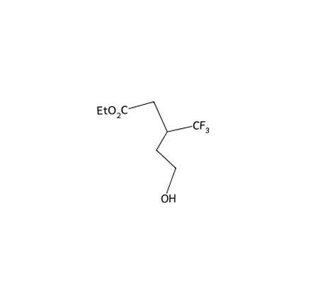 CCOC(=O)CC(CCO)C(F)(F)F